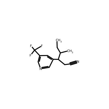 CCC(C)C(CC#N)c1cncc(C(F)(F)F)c1